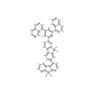 CC1(C)c2cc(-c3nc(-c4cccc5ccccc45)nc(-c4cccc5ccccc45)n3)ccc2-c2ccc(-c3cccc4c3-c3ccccc3C4(C)C)cc21